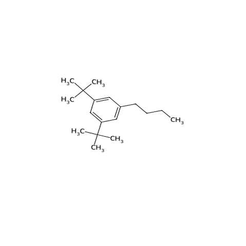 CCCCc1cc(C(C)(C)C)cc(C(C)(C)C)c1